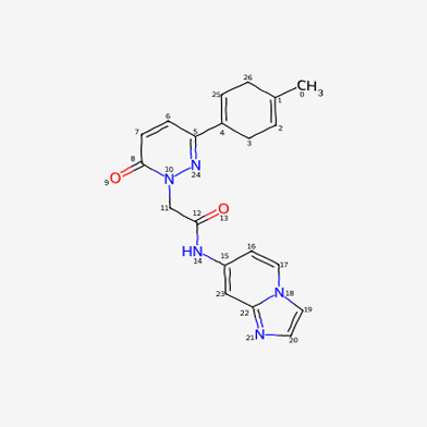 CC1=CCC(c2ccc(=O)n(CC(=O)Nc3ccn4ccnc4c3)n2)=CC1